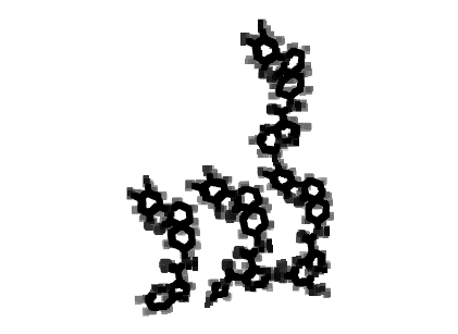 Cc1cc(C)n2ncc(C(=O)NC3CCC4(CCCN(c5cc(F)c(F)cc5Cl)C4=O)CC3)c2n1.O=C(NC1CCC2(CCCN(c3cc(F)c(F)cc3Cl)C2=O)CC1)c1[nH]cnc1C(=O)N1CC(F)C1.O=C(NC1CCC2(CCCN(c3cc(F)c(F)cc3Cl)C2=O)CC1)c1cnc2cccnn12.O=C(NC1CCC2(CCCN(c3cc(F)c(F)cc3Cl)C2=O)CC1)c1cnn2cccnc12